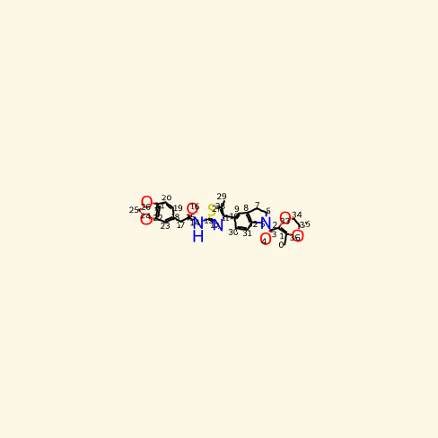 CC1=C(C(=O)N2CCc3cc(-c4nc(NC(=O)Cc5ccc6c(c5)OCO6)sc4C)ccc32)OCCO1